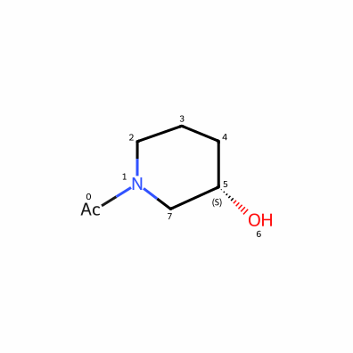 CC(=O)N1CCC[C@H](O)C1